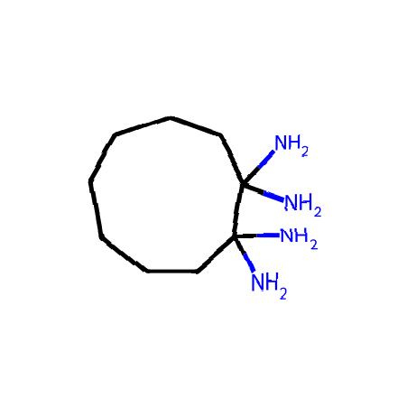 NC1(N)CCCCCCCC1(N)N